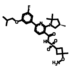 CC(C)COc1cc(F)cc(-c2ccc(C(=O)NS(=O)(=O)C3CC(C)(ON)C3)c(N3C[C@@H](C)CC3(C)C)n2)c1